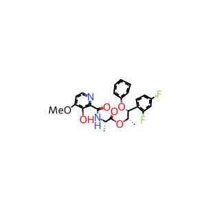 COc1ccnc(C(=O)N[C@@H](C)C(=O)O[C@@H](C)[C@H](Oc2ccccc2)c2ccc(F)cc2F)c1O